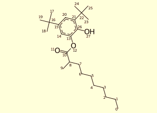 CCCCCCCCC(C)C(=O)Oc1cc(C(C)(C)C)cc(C(C)(C)C)c1O